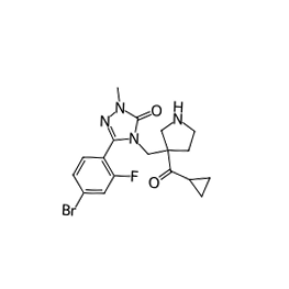 Cn1nc(-c2ccc(Br)cc2F)n(CC2(C(=O)C3CC3)CCNC2)c1=O